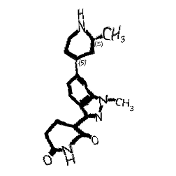 C[C@H]1C[C@@H](c2ccc3c(C4CCC(=O)NC4=O)nn(C)c3c2)CCN1